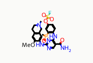 COc1cc2c(cc1Nc1ncc(C(N)=O)c(Nc3ccc(OS(=O)(=O)F)cc3P(C)(C)=O)n1)CN(C)CC2